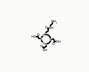 NCCNC(=O)CCN1CCN(CC(=O)O)CCN(CC(=O)O)CCN(CC(=O)O)CC1